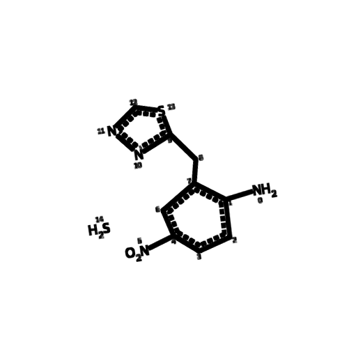 Nc1ccc([N+](=O)[O-])cc1Cc1nncs1.S